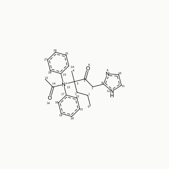 CCCC(C)(C(=O)Cc1ncc[nH]1)[N+](C(C)=O)(c1ccccc1)c1ccccc1